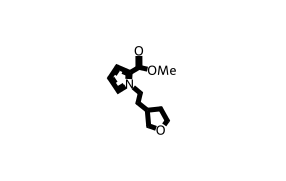 COC(=O)c1cccn1CCC1CCOC1